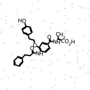 CC(NC(=O)c1ccc(NC(=O)CCc2ccccc2)c(OCCc2ccc(O)cc2)c1)C(=O)O